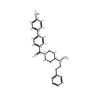 CN(CCc1ccccc1)C1CCN(C(=O)c2ccc(-c3ccc(O)cc3)cc2)CC1